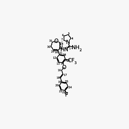 N=C(N)N1CCC[C@H]1C1=NC(c2ccc(OC/C=C/c3ccc(F)cc3)c(C(F)(F)F)c2)=CCCO1